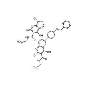 O=C(O)CNC(=O)c1c(O)c2cc(-c3ccc(OCc4ccccc4)cc3)ccc2oc1=O.O=C(O)CNC(=O)c1c(O)c2cccc(Cl)c2oc1=O